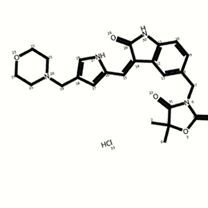 CC1(C)OC(=O)N(Cc2ccc3c(c2)/C(=C/c2cc(CN4CCOCC4)c[nH]2)C(=O)N3)C1=O.Cl